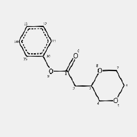 O=C(CC1COCCO1)Oc1ccccc1